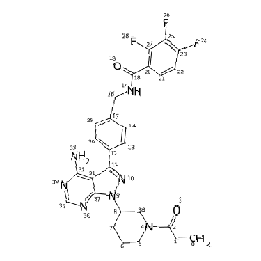 C=CC(=O)N1CCCC(n2nc(-c3ccc(CNC(=O)c4ccc(F)c(F)c4F)cc3)c3c(N)ncnc32)C1